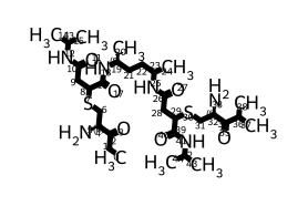 CCC(=O)[C@@H](N)CSC(CC(=O)NC(C)C)C(=O)N[C@@H](C)CCC(C)NC(=O)CC(SC[C@@H](N)C(=O)C(C)C)C(=O)NC(C)C